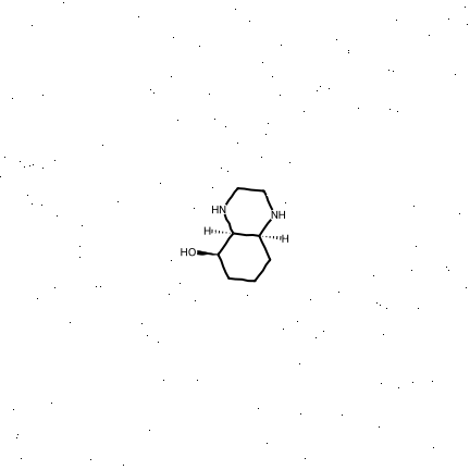 O[C@@H]1CCC[C@@H]2NCCN[C@H]12